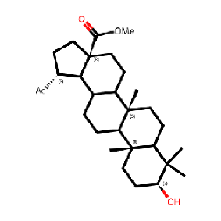 COC(=O)[C@@]12CCC3C(CCC4[C@@]3(C)CCC3C(C)(C)[C@@H](O)CC[C@@]34C)C1[C@H](C(C)=O)CC2